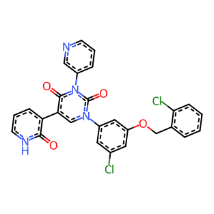 O=c1[nH]cccc1-c1cn(-c2cc(Cl)cc(OCc3ccccc3Cl)c2)c(=O)n(-c2cccnc2)c1=O